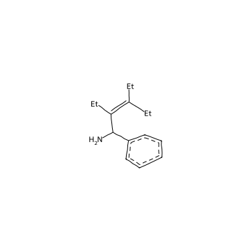 CCC(CC)=C(CC)C(N)c1ccccc1